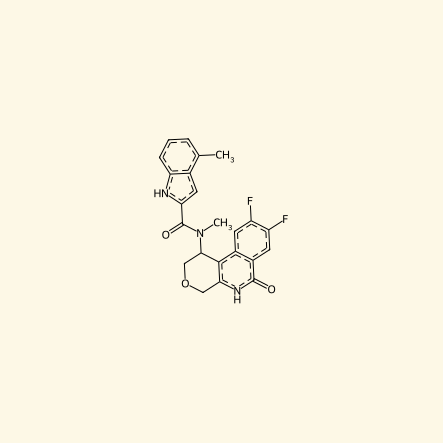 Cc1cccc2[nH]c(C(=O)N(C)C3COCc4[nH]c(=O)c5cc(F)c(F)cc5c43)cc12